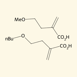 C=C(CCOC)C(=O)O.C=C(CCOCCCC)C(=O)O